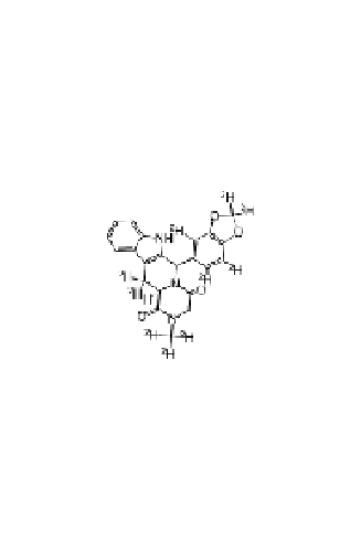 [2H]c1c([2H])c(C2c3[nH]c4ccccc4c3C([2H])([2H])[C@@H]3C(=O)N(C([2H])([2H])[2H])CC(=O)N23)c([2H])c2c1OC([2H])([2H])O2